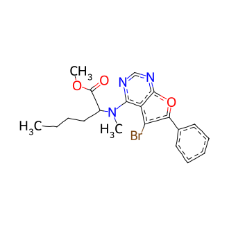 CCCCC(C(=O)OC)N(C)c1ncnc2oc(-c3ccccc3)c(Br)c12